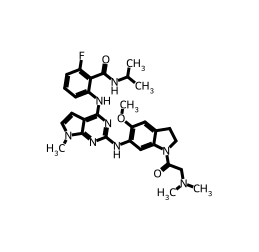 COc1cc2c(cc1Nc1nc(Nc3cccc(F)c3C(=O)NC(C)C)c3ccn(C)c3n1)N(C(=O)CN(C)C)CC2